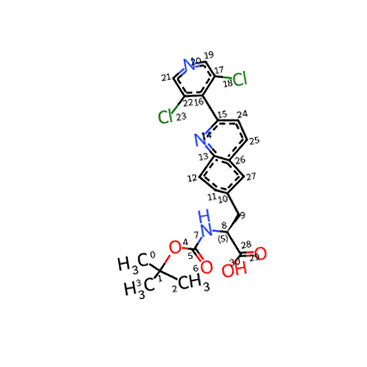 CC(C)(C)OC(=O)N[C@@H](Cc1ccc2nc(-c3c(Cl)cncc3Cl)ccc2c1)C(=O)O